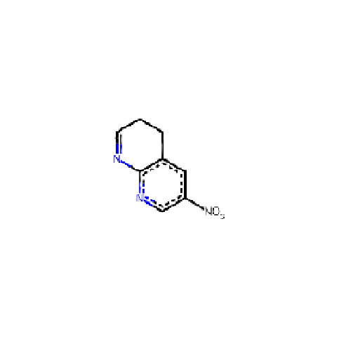 O=[N+]([O-])c1cnc2c(c1)CCC=N2